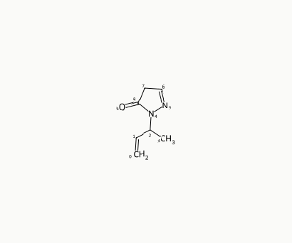 C=CC(C)N1N=CCC1=O